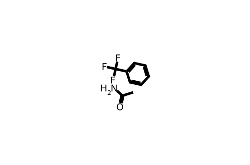 CC(N)=O.FC(F)(F)c1ccccc1